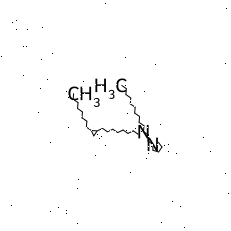 CCCCCCCCCCN(CCCCCCCCC1CC1CCCCCCCC)CCN1CCCC1